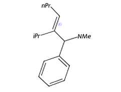 CCC/C=C(\C(C)C)C(NC)c1ccccc1